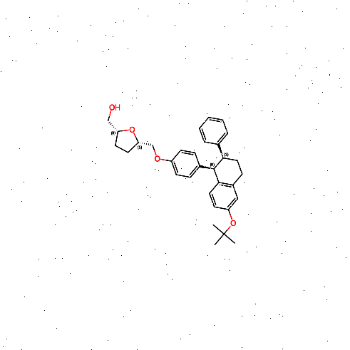 CC(C)(C)Oc1ccc2c(c1)CC[C@H](c1ccccc1)[C@@H]2c1ccc(OC[C@@H]2CC[C@H](CO)O2)cc1